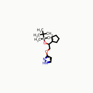 CC(C)(C)[Si](C)(C)OC(COc1cc[nH]n1)C1CCCC1